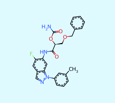 Cc1cccc(-n2ncc3cc(F)c(NC(=O)[C@H](COCc4ccccc4)OC(N)=O)cc32)c1